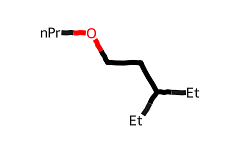 [CH2]CCOCCC(CC)CC